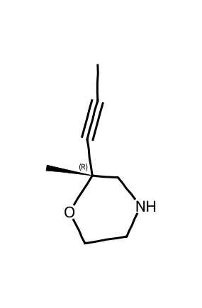 CC#C[C@]1(C)CNCCO1